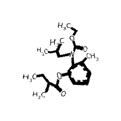 CCOC(=O)N(CC(C)C)c1c(C)cccc1OC(=O)C(C)CC